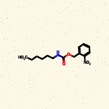 O=C(O)CCCCCNC(=O)OCc1ccccc1[N+](=O)[O-]